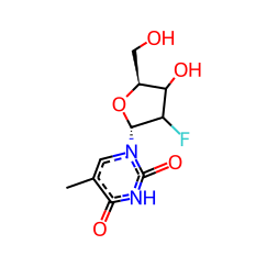 Cc1cn([C@@H]2O[C@@H](CO)C(O)C2F)c(=O)[nH]c1=O